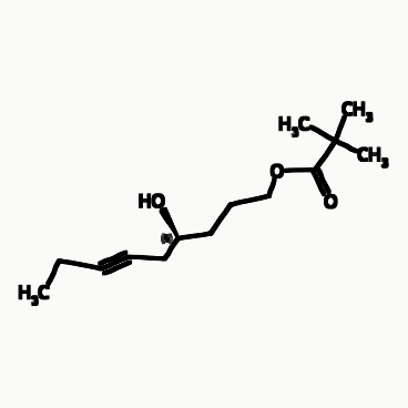 CCC#CC[C@@H](O)CCCOC(=O)C(C)(C)C